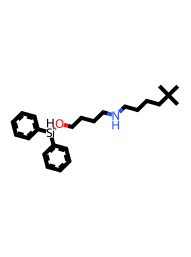 CC(C)(C)CCCCNCCCCO[SiH](c1ccccc1)c1ccccc1